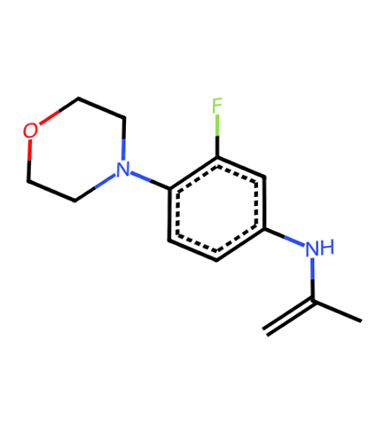 C=C(C)Nc1ccc(N2CCOCC2)c(F)c1